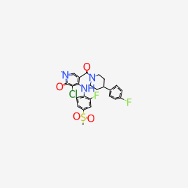 Cn1cc(C(=O)N2CCC(c3ccc(F)cc3)CC2)c(Nc2ccc(S(C)(=O)=O)cc2F)c(Cl)c1=O